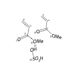 C=CC(=O)OC.C=CC(=O)OC.O=S(=O)(O)O